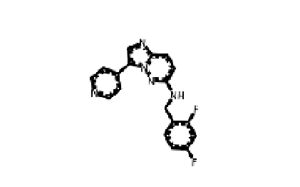 Fc1ccc(CNc2ccc3ncc(-c4ccncc4)n3n2)c(F)c1